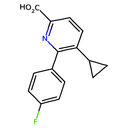 O=C(O)c1ccc(C2CC2)c(-c2ccc(F)cc2)n1